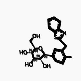 Cc1ccc([C@@H]2O[C@H](CO)[C@@H](O)[C@H](O)[C@H]2O)cc1Cc1nc2ccccc2s1